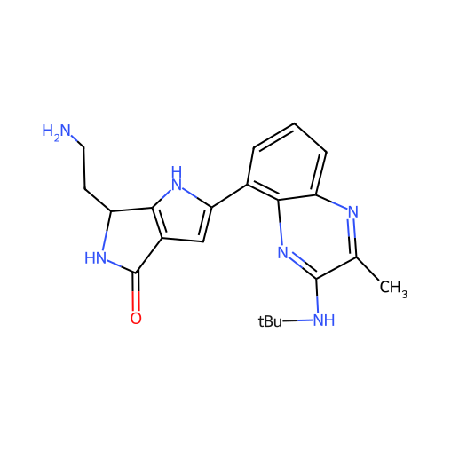 Cc1nc2cccc(-c3cc4c([nH]3)C(CCN)NC4=O)c2nc1NC(C)(C)C